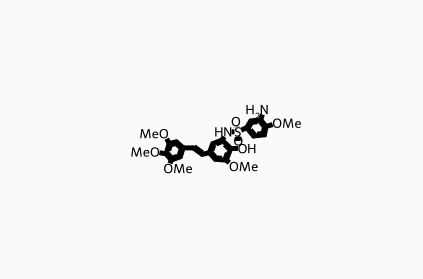 COc1ccc(S(=O)(=O)Nc2cc(C=Cc3cc(OC)c(OC)c(OC)c3)cc(OC)c2O)cc1N